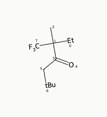 CCC(C)(C(=O)CC(C)(C)C)C(F)(F)F